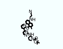 Cc1ccc2c(NCCC#N)cccc2c1Oc1ncccc1-c1ccnc(N[C@H]2CCCN(C(=O)OC(C)(C)C)C2)n1